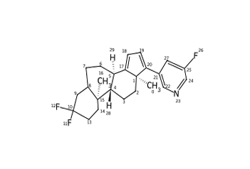 C[C@]12CC[C@H]3[C@@H](CCC4CC(F)(F)CC[C@@]43C)C1=CC=C2c1cncc(F)c1